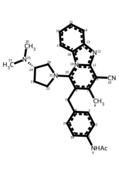 CC(=O)Nc1ccc(Cc2c(C)c(C#N)c3nc4ccccc4n3c2N2CC[C@H](N(C)C)C2)cc1